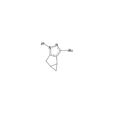 CCC(C)c1nn(C(C)C)c2c1C1CC1C2